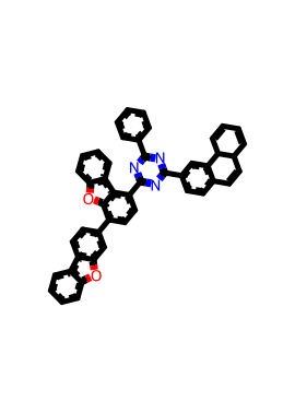 C1=CC2C=Cc3ccc(-c4nc(-c5ccccc5)nc(-c5ccc(-c6ccc7c(c6)oc6ccccc67)c6oc7ccccc7c56)n4)cc3C2C=C1